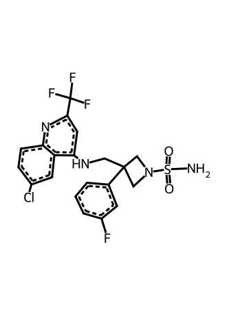 NS(=O)(=O)N1CC(CNc2cc(C(F)(F)F)nc3ccc(Cl)cc23)(c2cccc(F)c2)C1